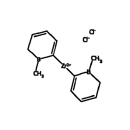 CB1CC=CC=[C]1[Zr+2][C]1=CC=CCB1C.[Cl-].[Cl-]